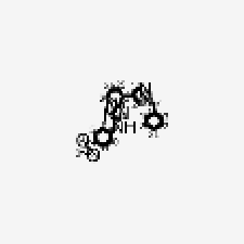 CS(=O)(=O)c1ccc(Nc2nc3c(-c4cnn(Cc5ccccc5)c4)cccn3n2)cc1